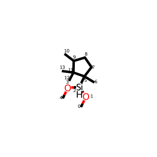 CO[SiH](OC)C1(C)CCC(C)C1(C)C